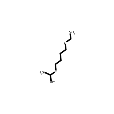 CCCC([SiH3])OCCCCOC[SiH3]